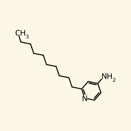 CCCCCCCCCCc1cc(N)ccn1